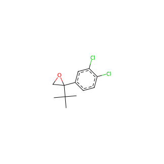 CC(C)(C)C1(c2ccc(Cl)c(Cl)c2)CO1